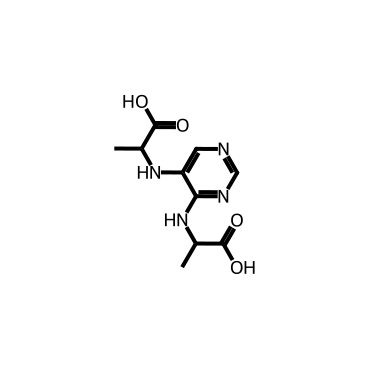 CC(Nc1cncnc1NC(C)C(=O)O)C(=O)O